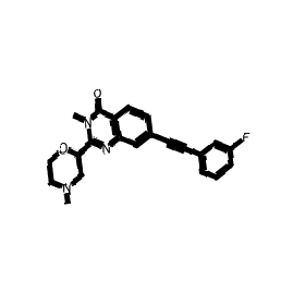 CN1CCOC(c2nc3cc(C#Cc4cccc(F)c4)ccc3c(=O)n2C)C1